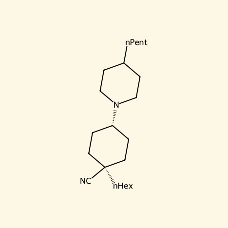 CCCCCC[C@]1(C#N)CC[C@H](N2CCC(CCCCC)CC2)CC1